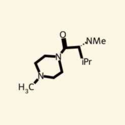 CN[C@@H](C(=O)N1CCN(C)CC1)C(C)C